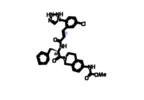 COC(=O)Nc1ccc2c(c1)CCN(C(=O)[C@H](Cc1ccccc1)NC(=O)/C=C/c1cc(Cl)ccc1N1C=NNN1)C2